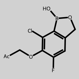 CC(=O)COc1c(F)cc2c(c1Cl)B(O)OC2